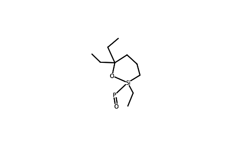 CCC1(CC)CCC[Si](CC)(P=O)O1